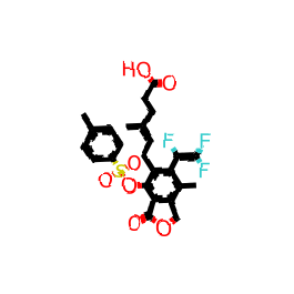 C/C(=C\Cc1c(OS(=O)(=O)c2ccc(C)cc2)c2c(c(C)c1C(F)=C(F)F)COC2=O)CCC(=O)O